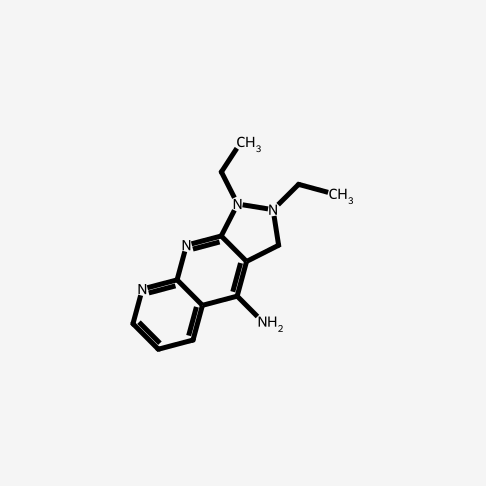 CCN1Cc2c(nc3ncccc3c2N)N1CC